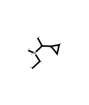 CCN(C)C(C)C1CC1